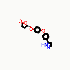 O=C1CC[C@@H](COc2ccc(Oc3ccc(-c4ccn[nH]4)cc3)cc2)O1